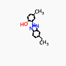 CCc1ccc2nn(-c3cc(C)ccc3O)nc2c1